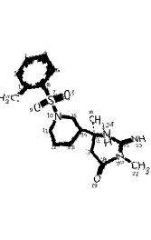 Cc1ccccc1S(=O)(=O)N1CCCC([C@]2(C)CC(=O)N(C)C(=N)N2)C1